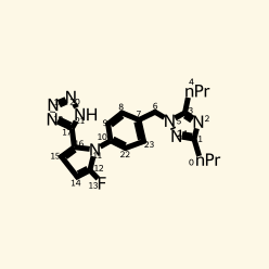 CCCc1nc(CCC)n(Cc2ccc(-n3c(F)ccc3-c3nnn[nH]3)cc2)n1